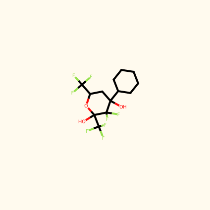 OC1(C2CCCCC2)CC(C(F)(F)F)OC(O)(C(F)(F)F)C1(F)F